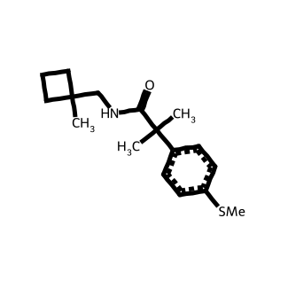 CSc1ccc(C(C)(C)C(=O)NCC2(C)CCC2)cc1